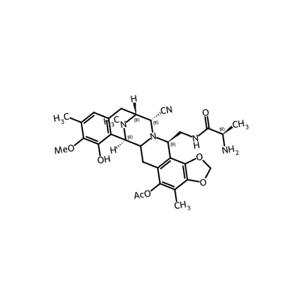 COc1c(C)cc2c(c1O)[C@@H]1C3Cc4c(OC(C)=O)c(C)c5c(c4[C@H](CNC(=O)[C@@H](C)N)N3[C@@H](C#N)[C@@H](C2)N1C)OCO5